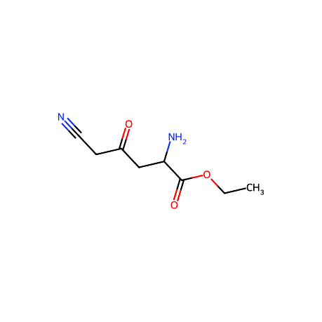 CCOC(=O)C(N)CC(=O)CC#N